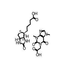 Cn1cnc2c1c(=O)n(CC(=O)O)c(=O)n2C.O=C(O)CCCC[C@@H]1SC[C@@H]2NC(=O)N[C@@H]21